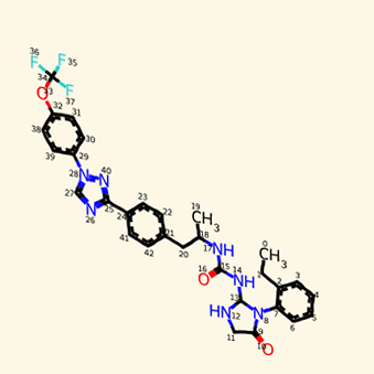 CCc1ccccc1N1C(=O)CNC1NC(=O)NC(C)Cc1ccc(-c2ncn(-c3ccc(OC(F)(F)F)cc3)n2)cc1